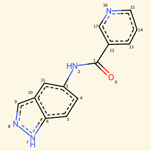 O=C(Nc1ccc2[nH]ncc2c1)c1cccnc1